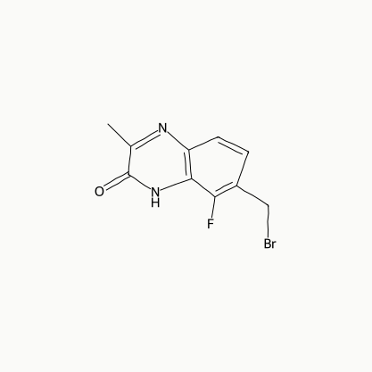 Cc1nc2ccc(CBr)c(F)c2[nH]c1=O